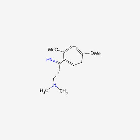 COC1=CC=C(OC)C(C(=N)CCN(C)C)=CC1